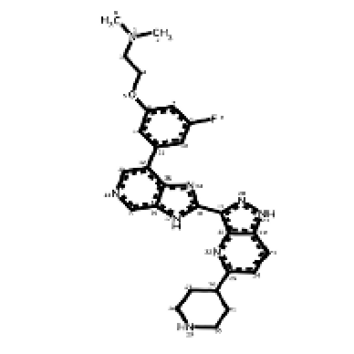 CN(C)CCOc1cc(F)cc(-c2cncc3[nH]c(-c4n[nH]c5ccc(C6CCNCC6)nc45)nc23)c1